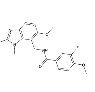 COc1ccc(C(=O)NCc2c(OC)ccc3nc(C)n(C)c23)cc1F